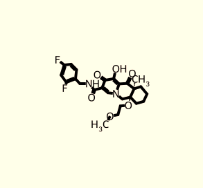 COCCO[C@@]12CCCC[C@]1(C)C(=O)c1c(O)c(=O)c(C(=O)NCc3ccc(F)cc3F)cn1C2